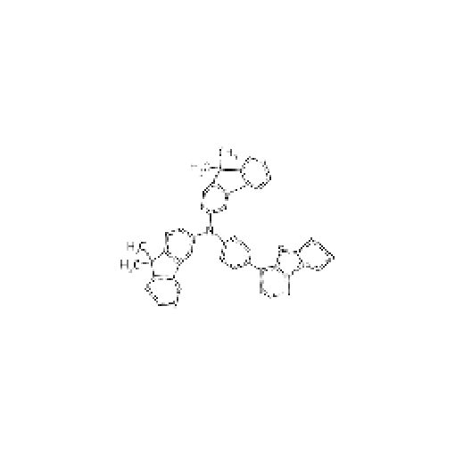 CC1(C)c2ccccc2-c2cc(N(c3ccc(-c4cccc5c4sc4ccccc45)cc3)c3ccc4c(c3)-c3ccccc3C4(C)C)ccc21